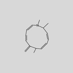 C=C1/C=C\C=C/N(C)C(C)/C=C\C=C/C1C